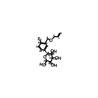 C=CCOCc1cc([C@@H]2OC(O)[C@@H](O)[C@H](O)[C@H]2O)ccc1F